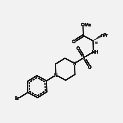 CCC[C@H](NS(=O)(=O)N1CCN(c2ccc(Br)cc2)CC1)C(=O)OC